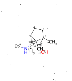 CCN[C@@H]1C2CCC(C)([C@@H]1O)C2(C)C